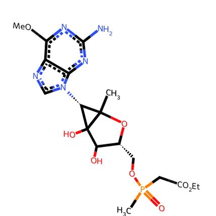 CCOC(=O)CP(C)(=O)OC[C@H]1OC2(C)[C@@H](n3cnc4c(OC)nc(N)nc43)C2(O)C1O